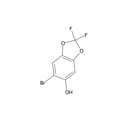 Oc1cc2c(cc1Br)OC(F)(F)O2